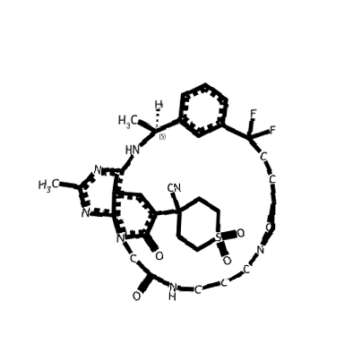 Cc1nc2c3cc(C4(C#N)CCS(=O)(=O)CC4)c(=O)n(c3n1)CC(=O)NCCCN1CC(CCC(F)(F)c3cccc(c3)[C@H](C)N2)C1